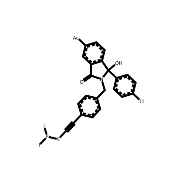 CC(=O)c1ccc2c(c1)C(=O)N(Cc1ccc(C#CSP(I)I)cc1)C2(O)c1ccc(Cl)cc1